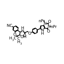 CCCn1c(=O)c2[nH]c(-c3ccc(OCC(=O)NC4c5ccc(C#N)cc5OC(C)(C)C4O)cc3)cc2n(CCC)c1=O